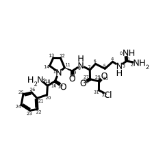 N=C(N)NCCCC(NC(=O)[C@@H]1CCCN1C(=O)C(N)Cc1ccccc1)C(=O)C(=O)CCl